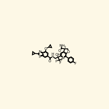 C[C@]1(C(N)=O)COc2c1cc([C@@](O)(CNC(=O)c1cc(OC3CC3)c3nc(C4CC4)sc3c1)C(F)(F)F)nc2-c1ccc(F)cc1